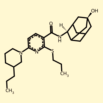 CCCSc1nc(N2CCCC(CCC)C2)ccc1C(=O)N[C@H]1C2CC3CC1C[C@@](O)(C3)C2